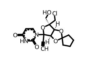 C#CC1(n2ccc(=O)[nH]c2=O)O[C@@](CO)(CCl)[C@H]2OC3(CCCC3)O[C@H]21